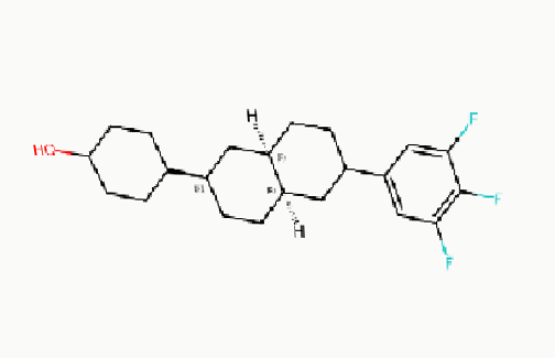 OC1CCC([C@@H]2CC[C@@H]3CC(c4cc(F)c(F)c(F)c4)CC[C@@H]3C2)CC1